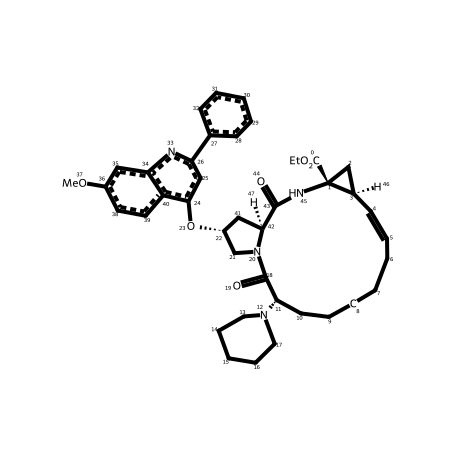 CCOC(=O)[C@@]12C[C@H]1C=CCCCCC[C@H](N1CCCCC1)C(=O)N1C[C@H](Oc3cc(-c4ccccc4)nc4cc(OC)ccc34)C[C@H]1C(=O)N2